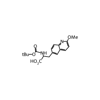 COc1ccc2cc(CC(NC(=O)OC(C)(C)C)C(=O)O)ccc2n1